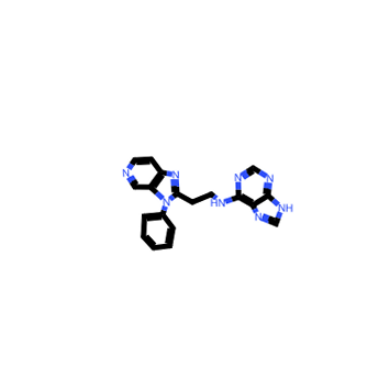 c1ccc(-n2c(CCNc3ncnc4[nH]cnc34)nc3ccncc32)cc1